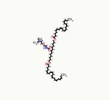 CC/C=C\C/C=C\C/C=C\C/C=C\C/C=C\CCCC(=O)OCCCCCCC(CCCCCCOC(=O)CCC/C=C\C/C=C\C/C=C\C/C=C\C/C=C\CC)OC(=O)NCCOCCN(C)C